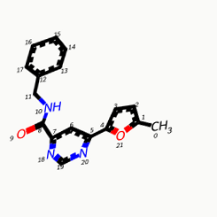 Cc1ccc(-c2cc(C(=O)NCc3ccccc3)ncn2)o1